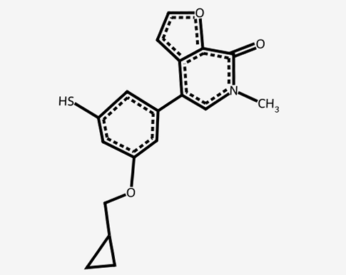 Cn1cc(-c2cc(S)cc(OCC3CC3)c2)c2ccoc2c1=O